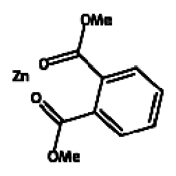 COC(=O)c1ccccc1C(=O)OC.[Zn]